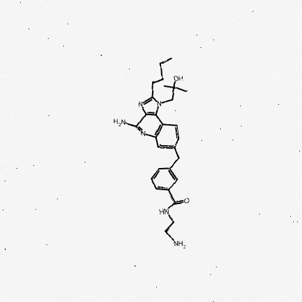 CCCCc1nc2c(N)nc3cc(Cc4cccc(C(=O)NCCN)c4)ccc3c2n1CC(C)(C)O